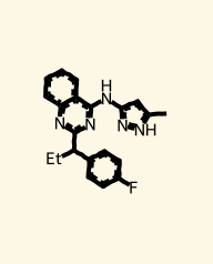 CCC(c1ccc(F)cc1)c1nc(Nc2cc(C)[nH]n2)c2ccccc2n1